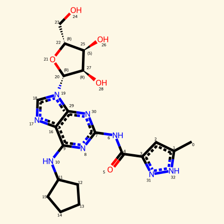 Cc1cc(C(=O)Nc2nc(NC3CCCC3)c3ncn([C@@H]4O[C@H](CO)[C@@H](O)[C@H]4O)c3n2)n[nH]1